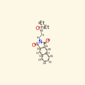 CCC1(CC)OC1CCN1C(=O)c2cc3ccccc3cc2C1=O